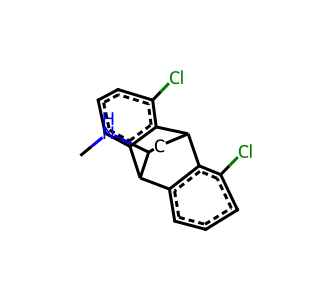 CNC1CC2c3c(Cl)cccc3C1c1cccc(Cl)c12